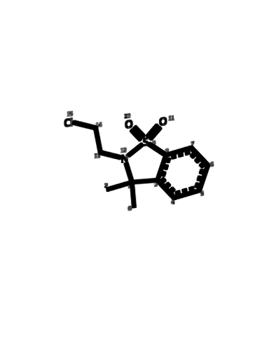 CC1(C)c2ccccc2S(=O)(=O)N1CCCl